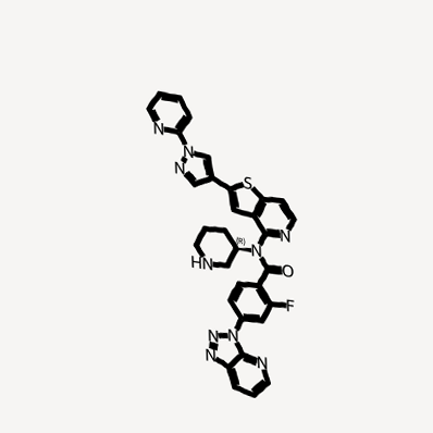 O=C(c1ccc(-n2nnc3cccnc32)cc1F)N(c1nccc2sc(-c3cnn(-c4ccccn4)c3)cc12)[C@@H]1CCCNC1